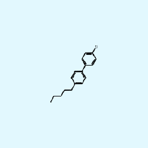 CCCCCc1ccc(-c2ccc(Cl)cc2)cc1